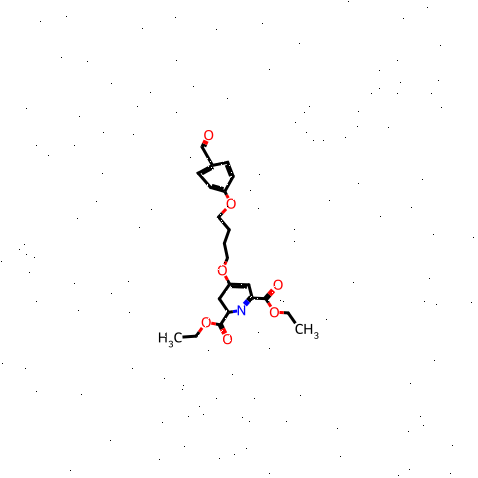 CCOC(=O)C1=NC(C(=O)OCC)CC(OCCCCOc2ccc(C=O)cc2)=C1